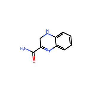 NC(=O)C1=Nc2ccccc2NC1